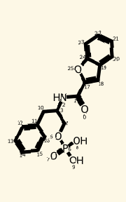 O=C(NC(COP(=O)(O)O)Cc1ccccc1)c1cc2ccccc2o1